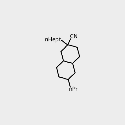 CCCCCCCC1(C#N)CCC2CC(CCC)CCC2C1